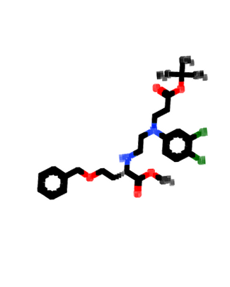 COC(=O)[C@H](CCOCc1ccccc1)NCCN(CCC(=O)OC(C)(C)C)c1ccc(Cl)c(Cl)c1